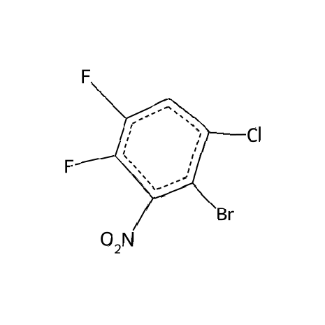 O=[N+]([O-])c1c(F)c(F)cc(Cl)c1Br